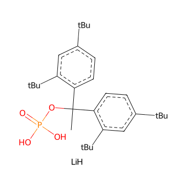 CC(C)(C)c1ccc(C(C)(OP(=O)(O)O)c2ccc(C(C)(C)C)cc2C(C)(C)C)c(C(C)(C)C)c1.[LiH]